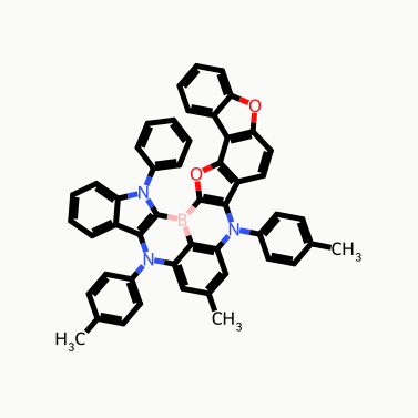 Cc1ccc(N2c3cc(C)cc4c3B(c3oc5c(ccc6oc7ccccc7c65)c32)c2c(c3ccccc3n2-c2ccccc2)N4c2ccc(C)cc2)cc1